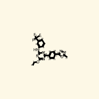 CCOc1nc(Nc2cccc(C(F)(F)F)c2)nc(-c2ccc(-c3nnc(C)o3)cc2)n1